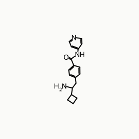 NC(Cc1ccc(C(=O)Nc2ccncc2)cc1)C1CCC1